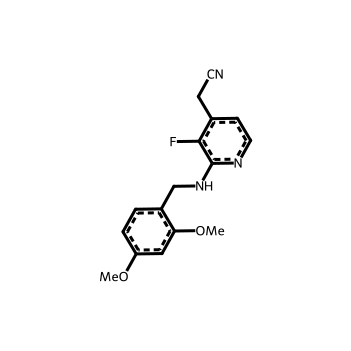 COc1ccc(CNc2nccc(CC#N)c2F)c(OC)c1